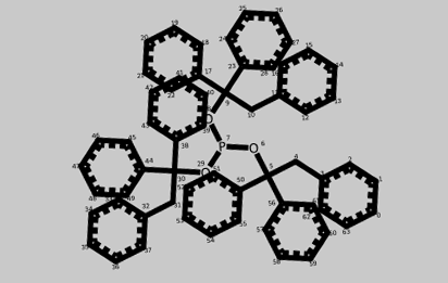 c1ccc(CC(OP(OC(Cc2ccccc2)(c2ccccc2)c2ccccc2)OC(Cc2ccccc2)(c2ccccc2)c2ccccc2)(c2ccccc2)c2ccccc2)cc1